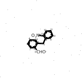 O=[C]c1ccccc1Cc1ccccc1[N+](=O)[O-]